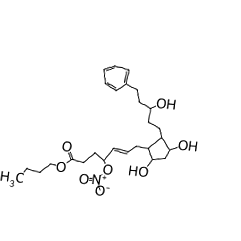 CCCCOC(=O)CCC(C=CCC1C(O)CC(O)C1CCC(O)CCc1ccccc1)O[N+](=O)[O-]